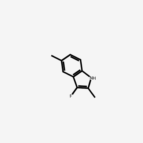 Cc1ccc2[nH]c(C)c(F)c2c1